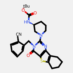 CC(C)(C)OC(=O)N[C@H]1CCCN(c2nc3c4c(sc3c(=O)n2Cc2ccccc2C#N)CCCC4)C1